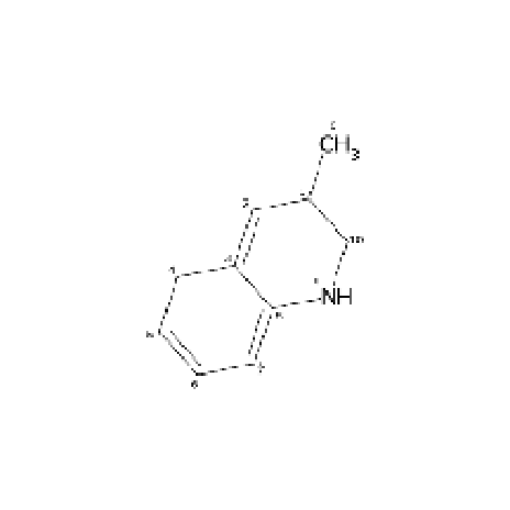 CC1C=C2CC=C[C]=C2NC1